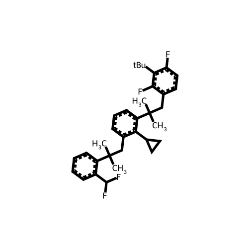 CC(C)(C)c1c(F)ccc(CC(C)(C)c2cccc(CC(C)(C)c3ccccc3C(F)F)c2C2CC2)c1F